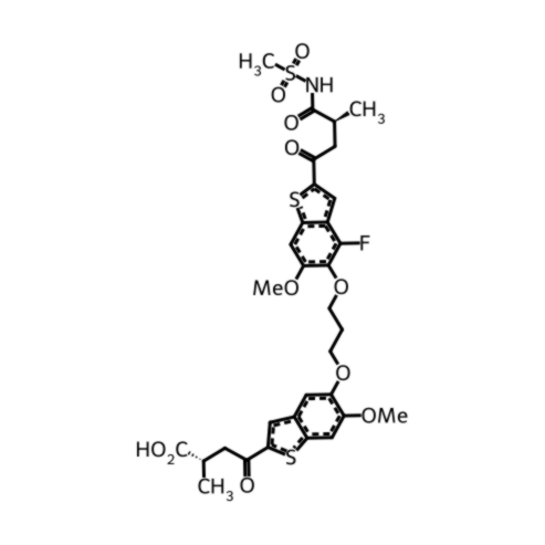 COc1cc2sc(C(=O)C[C@H](C)C(=O)O)cc2cc1OCCCOc1c(OC)cc2sc(C(=O)C[C@H](C)C(=O)NS(C)(=O)=O)cc2c1F